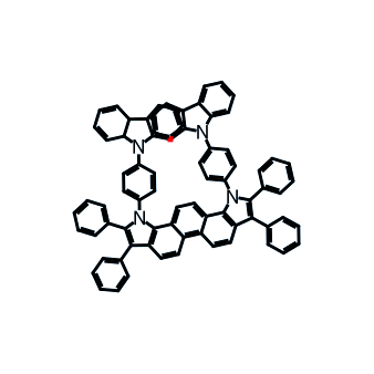 C1=CC2c3ccccc3N(c3ccc(-n4c(-c5ccccc5)c(-c5ccccc5)c5ccc6c7ccc8c(-c9ccccc9)c(-c9ccccc9)n(-c9ccc(-n%10c%11ccccc%11c%11ccccc%11%10)cc9)c8c7ccc6c54)cc3)C2C=C1